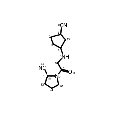 N#CC1CCC(NCC(=O)N2CCC[C@H]2C#N)C1